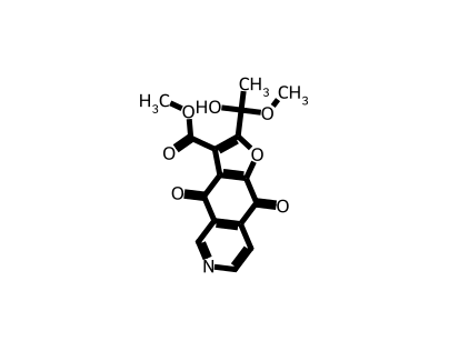 COC(=O)c1c(C(C)(O)OC)oc2c1C(=O)c1cnccc1C2=O